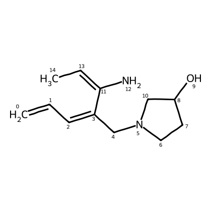 C=C/C=C(CN1CCC(O)C1)\C(N)=C/C